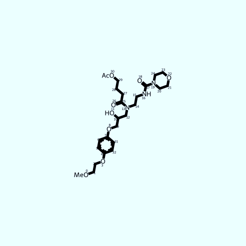 COCCOc1ccc(OCC(O)CN(CCNC(=O)N2CCOCC2)C(=O)CCCOC(C)=O)cc1